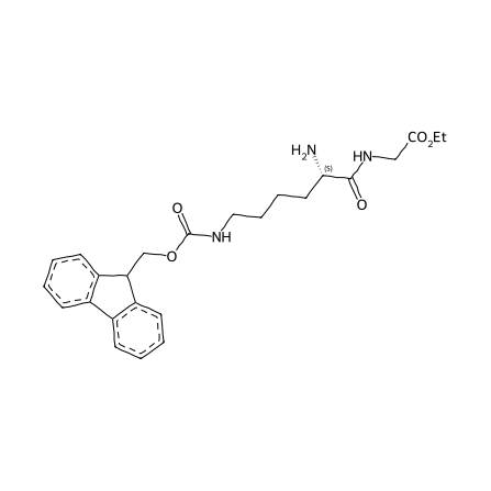 CCOC(=O)CNC(=O)[C@@H](N)CCCCNC(=O)OCC1c2ccccc2-c2ccccc21